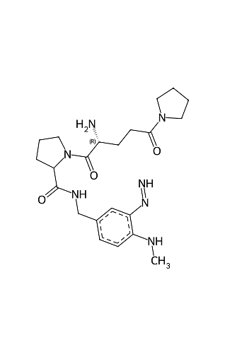 CNc1ccc(CNC(=O)C2CCCN2C(=O)[C@H](N)CCC(=O)N2CCCC2)cc1N=N